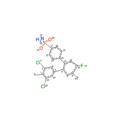 Cc1c(Cl)cc(-c2cc(F)c(F)cc2-c2ccc(S(N)(=O)=O)cc2)cc1Cl